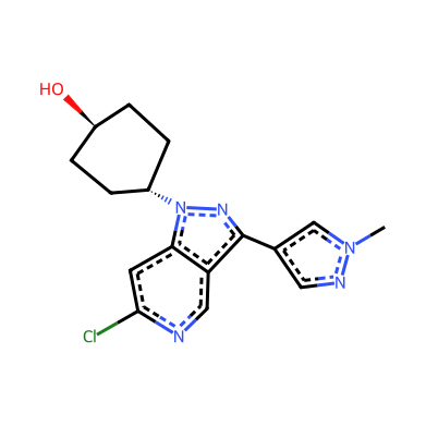 Cn1cc(-c2nn([C@H]3CC[C@H](O)CC3)c3cc(Cl)ncc23)cn1